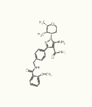 COc1ccccc1C(=O)NCc1ccc(-c2nn([C@@H]3CCO[C@@H](C)[C@@H]3C)c(N)c2C(N)=O)cc1